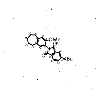 COc1cc2c(cc1N1C(=O)c3ccc(C(C)(C)C)cc3C1=O)CCCCC2